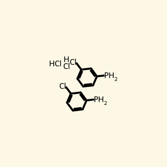 Cl.Cl.Pc1cccc(Cl)c1.Pc1cccc(Cl)c1